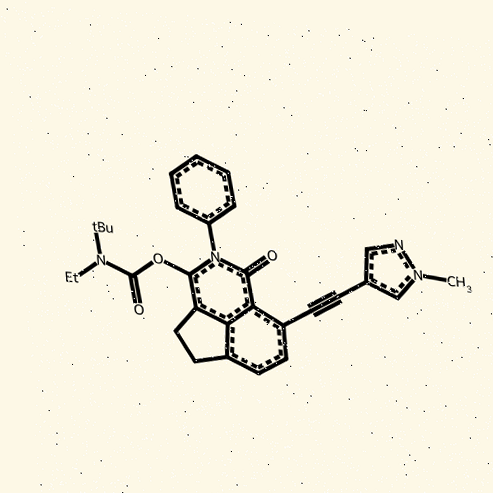 CCN(C(=O)Oc1c2c3c(ccc(C#Cc4cnn(C)c4)c3c(=O)n1-c1ccccc1)CC2)C(C)(C)C